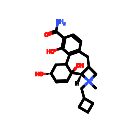 C[N+]1(CC2CCC2)CC2Cc3ccc(C(N)=O)c(O)c3C3C[C@@H](O)C=C[C@@]3(O)[C@@H]21